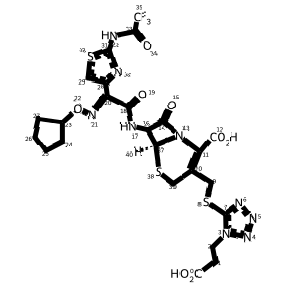 O=C(O)CCn1nnnc1SCC1=C(C(=O)O)N2C(=O)C(NC(=O)C(=NOC3CCCC3)c3csc(NC(=O)C(F)(F)F)n3)[C@@H]2SC1